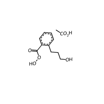 CC(=O)O.O=C(OO)c1ccccc1CCCO